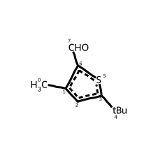 Cc1cc(C(C)(C)C)sc1C=O